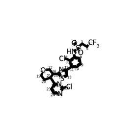 O=S(=O)(CCC(F)(F)F)Nc1cccc(-c2csc(C3COCCC3c3ccnc(Cl)n3)n2)c1Cl